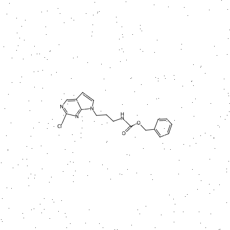 O=C(NCCCn1ccc2cnc(Cl)nc21)OCc1ccccc1